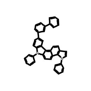 c1ccc(-c2cccc(-c3ccc4c(c3)c3c5ccc6ccn(-c7ccccc7)c6c5ccc3n4-c3ccccc3)c2)cc1